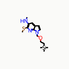 CNc1cc2ccn(COCC[Si](C)(C)C)c2nc1SC